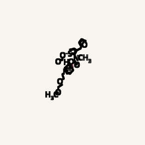 COCCOCC[N+]12CCC(CC1)[C@@H](OC(=O)N(C)c1sccc1Cc1ccco1)C2.O=C[O-]